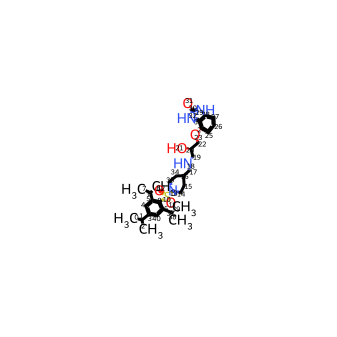 CC(C)c1cc(C(C)C)c(S(=O)(=O)N2CCC(CNC[C@@H](O)COc3cccc4[nH]c(=O)[nH]c34)CC2)c(C(C)C)c1